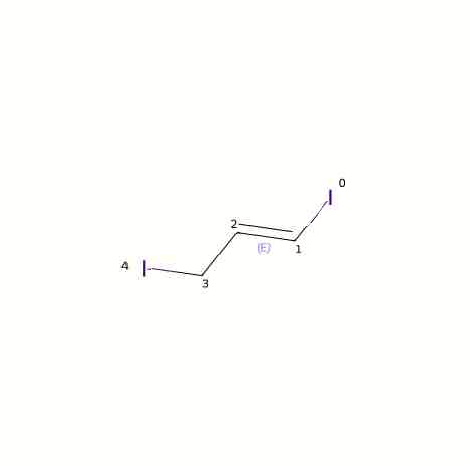 I/C=C/CI